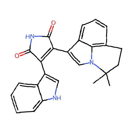 CC1(C)CCc2cccc3c(C4=C(c5c[nH]c6ccccc56)C(=O)NC4=O)cn1c23